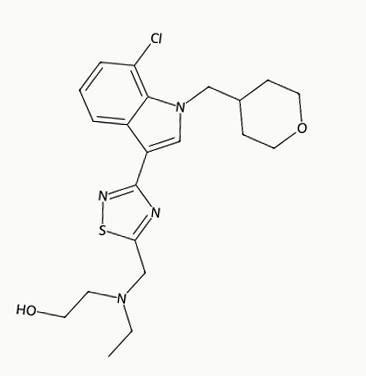 CCN(CCO)Cc1nc(-c2cn(CC3CCOCC3)c3c(Cl)cccc23)ns1